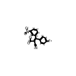 N#Cc1c(-c2ccc(F)cc2)c2cccc([N+](=O)[O-])c2oc1=O